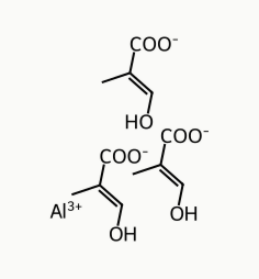 CC(=CO)C(=O)[O-].CC(=CO)C(=O)[O-].CC(=CO)C(=O)[O-].[Al+3]